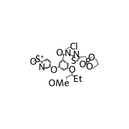 CCC(COC)Oc1cc(Oc2ccc([S+](C)[O-])nc2)cc(C(=O)N(CCl)c2nc(CP3(=O)OCCCO3)cs2)c1